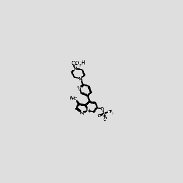 N#Cc1cnn2cc(OS(=O)(=O)C(F)(F)F)cc(-c3ccc(N4CCN(C(=O)O)CC4)nc3)c12